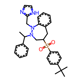 CC(c1ccccc1)N1CC(S(=O)(=O)c2ccc(C(C)(C)C)cc2)Cc2ccccc2N1Cc1ncc[nH]1